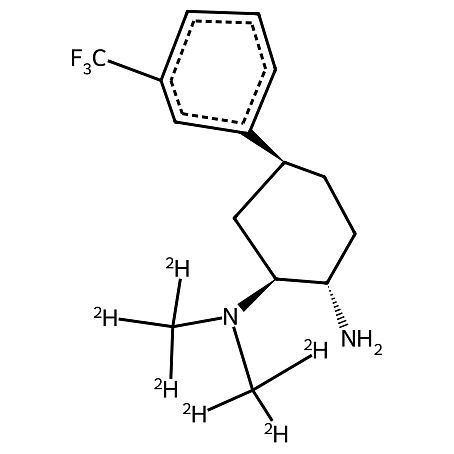 [2H]C([2H])([2H])N([C@H]1C[C@@H](c2cccc(C(F)(F)F)c2)CC[C@@H]1N)C([2H])([2H])[2H]